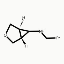 CC(C)CNC1[C@@H]2COC[C@@H]12